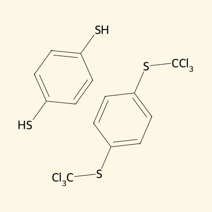 ClC(Cl)(Cl)Sc1ccc(SC(Cl)(Cl)Cl)cc1.Sc1ccc(S)cc1